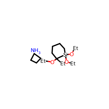 C1CCC1.CCOC1(CC)CCCC[Si]1(OCC)OCC.N